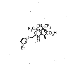 C=C(C(=O)O)C(NCCC[n+]1ccn(CC)c1)=[N+](S(=O)(=O)C(F)(F)F)S(=O)(=O)C(F)(F)F